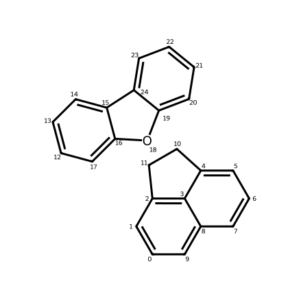 c1cc2c3c(cccc3c1)CC2.c1ccc2c(c1)oc1ccccc12